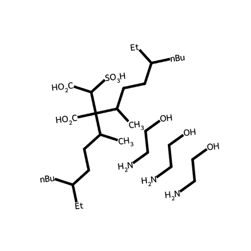 CCCCC(CC)CCC(C)C(C(=O)O)(C(C)CCC(CC)CCCC)C(C(=O)O)S(=O)(=O)O.NCCO.NCCO.NCCO